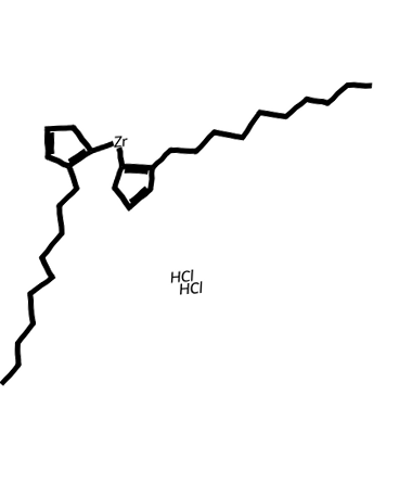 CCCCCCCCCCC1=[C]([Zr][C]2=C(CCCCCCCCCC)C=CC2)CC=C1.Cl.Cl